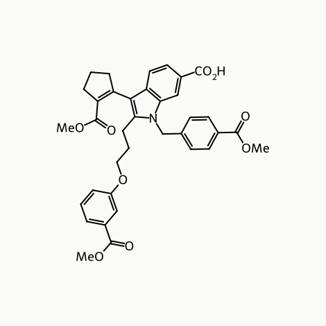 COC(=O)C1=C(c2c(CCCOc3cccc(C(=O)OC)c3)n(Cc3ccc(C(=O)OC)cc3)c3cc(C(=O)O)ccc23)CCC1